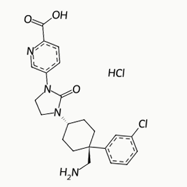 Cl.NC[C@]1(c2cccc(Cl)c2)CC[C@@H](N2CCN(c3ccc(C(=O)O)nc3)C2=O)CC1